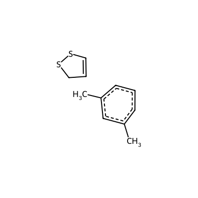 C1=CSSC1.Cc1cccc(C)c1